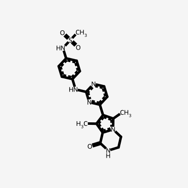 Cc1c(-c2ccnc(Nc3ccc(NS(C)(=O)=O)cc3)n2)c(C)n2c1C(=O)NCC2